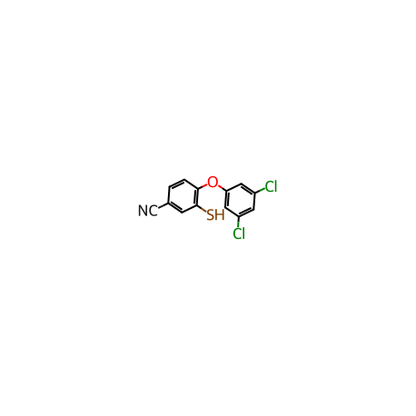 N#Cc1ccc(Oc2cc(Cl)cc(Cl)c2)c(S)c1